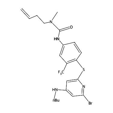 C=CCCN(C)C(=O)Nc1ccc(Sc2cc(NCCCC)cc(Br)n2)c(C(F)(F)F)c1